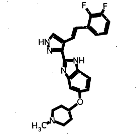 CN1CCC(Oc2ccc3[nH]c(-c4n[nH]cc4/C=C/c4cccc(F)c4F)nc3c2)CC1